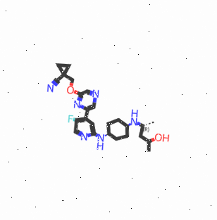 CC(O)C[C@@H](C)N[C@H]1CC[C@H](Nc2cc(-c3cncc(OCC4(C#N)CC4)n3)c(F)cn2)CC1